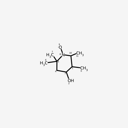 CC1C(O)CC(C)(C)N([O])C1C